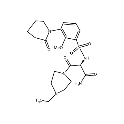 COc1c(N2CCCCC2=O)cccc1S(=O)(=O)N[C@@H](C(N)=O)C(=O)N1CCN(CC(F)(F)F)CC1